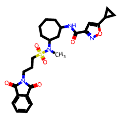 CN(C1CCCCC(NC(=O)c2cc(C3CC3)on2)C1)S(=O)(=O)CCCN1C(=O)c2ccccc2C1=O